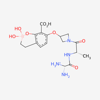 C[C@H](NC(=O)[C@H](N)[NH3+])C(=O)N1CC(Oc2ccc3c(c2C(=O)O)O[B-](O)(O)CC3)C1